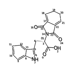 O=C(O)[C@H](Cc1c[nH]c2ccccc12)N1C(=O)C2=CCCC=C2C1=O